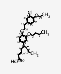 CCCCOc1cc(C(CC=CC(=O)O)OCC)ccc1OCCc1ccc(OCC)c(Cl)c1